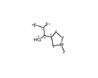 CN1CCC(C(O)C(F)F)C1